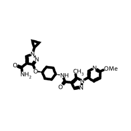 COc1ccc(-n2ncc(C(=O)N[C@H]3CC[C@H](Oc4nn(C5CC5)cc4C(N)=O)CC3)c2C)cn1